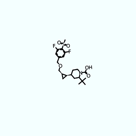 CC(C)(C)C1CC([C@H]2C[C@H]2COCc2cc(F)c(S(C)(=O)=O)c(F)c2)CCN1C(=O)O